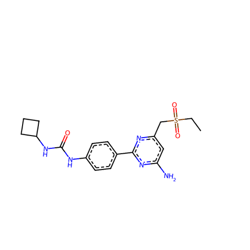 CCS(=O)(=O)Cc1cc(N)nc(-c2ccc(NC(=O)NC3CCC3)cc2)n1